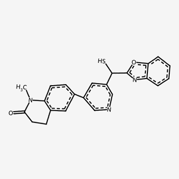 CN1C(=O)CCc2cc(-c3cncc(C(S)c4nc5ccccc5o4)c3)ccc21